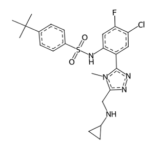 Cn1c(CNC2CC2)nnc1-c1cc(Cl)c(F)cc1NS(=O)(=O)c1ccc(C(C)(C)C)cc1